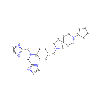 c1c[nH]c(CN(Cc2ncc[nH]2)C2CCC(CN3CCC4(CCN(C5CCCC5)CC4)C3)CC2)n1